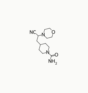 N#CC(CC1CCN(C(N)=O)CC1)N1CCOCC1